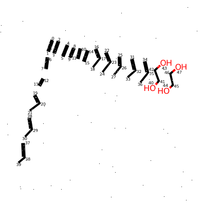 C=C.C=C.C=C.C=C.C=C.C=C.C=C.C=C.C=CC.C=CC.C=CC.C=CC.C=CC.C=CC.C=CC.C=CC.OCCO.OCCO